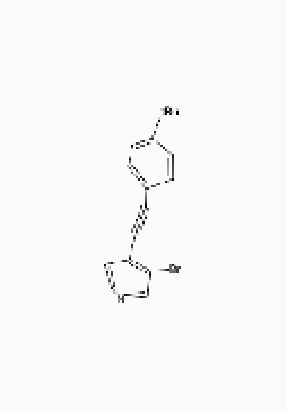 CC(C)(C)c1ccc(C#Cc2ccncc2Br)cc1